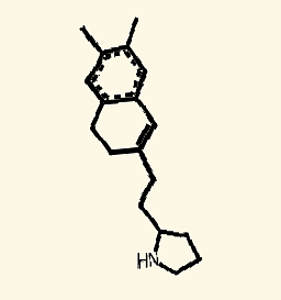 Cc1cc2c(cc1C)CCC(CCC1CCCN1)=C2